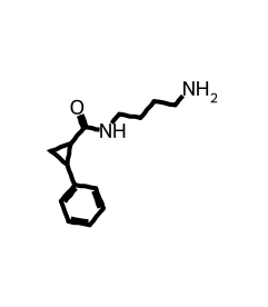 NCCCCNC(=O)C1CC1c1ccccc1